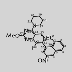 CCc1cccc2cc(N=O)cc(-c3ncc4c(N5CCCCC5)nc(OC)nc4c3F)c12